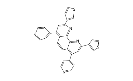 c1cc(-c2cc(-c3ccsc3)nc3c2ccc2c(-c4ccncc4)cc(-c4ccsc4)nc23)ccn1